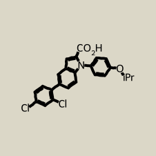 CC(C)Oc1ccc(-n2c(C(=O)O)cc3cc(-c4ccc(Cl)cc4Cl)ccc32)cc1